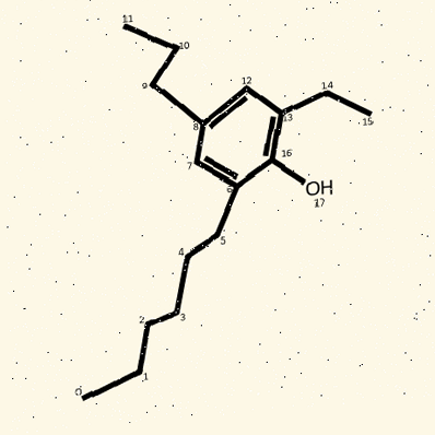 CCCCCCc1cc(CCC)cc(CC)c1O